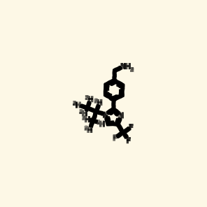 [2H]C([2H])([2H])C([2H])(n1cc(C(F)(F)F)nc1-c1ccc(CN)cc1)C([2H])([2H])[2H]